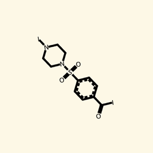 O=C(I)c1ccc(S(=O)(=O)N2CCN(I)CC2)cc1